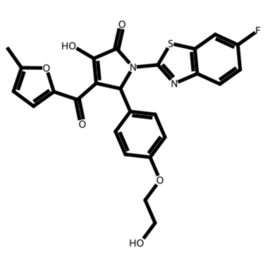 Cc1ccc(C(=O)C2=C(O)C(=O)N(c3nc4ccc(F)cc4s3)C2c2ccc(OCCO)cc2)o1